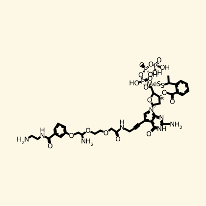 CSSC(C)c1ccccc1C(=O)O[C@@H]1C[C@H](n2cc(C#CCNC(=O)COCCOC(N)COc3cccc(C(=O)NCCN)c3)c3c(=O)[nH]c(N)nc32)OC1COP(=O)(O)OP(=O)(O)OP(=O)(O)O